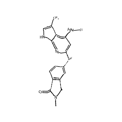 CCNc1cc(Nc2ccc3c(c2)CN(C)C3=O)nc2[nH]cc(C(F)(F)F)c12